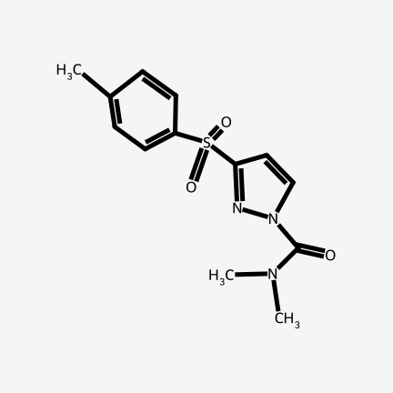 Cc1ccc(S(=O)(=O)c2ccn(C(=O)N(C)C)n2)cc1